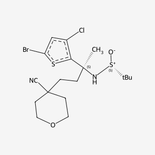 CC(C)(C)[S@@+]([O-])N[C@@](C)(CCC1(C#N)CCOCC1)c1sc(Br)cc1Cl